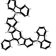 c1ccc(-c2c3oc4ccc(-n5c6ccccc6c6ccccc65)cc4c3cc3c2oc2ccc(-n4c5ccccc5c5ccccc54)cc23)cc1